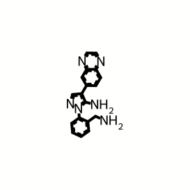 NCc1ccccc1-n1ncc(-c2ccc3nccnc3c2)c1N